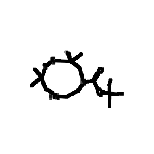 CC(C)(C)OC(=O)N1CCNCC(C)(C)SSC(C)(C)C1